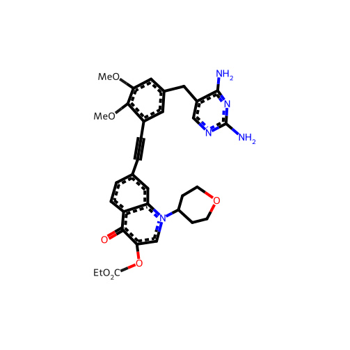 CCOC(=O)Oc1cn(C2CCOCC2)c2cc(C#Cc3cc(Cc4cnc(N)nc4N)cc(OC)c3OC)ccc2c1=O